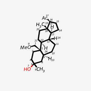 COC[C@]12CCC(C)(O)C[C@@H]1CC[C@H]1[C@@H]3CC[C@H](C(C)=O)[C@@]3(C)CC[C@@H]12